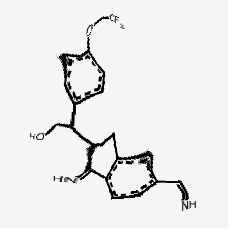 N=Cc1ccc2c(c1)CC(C(O)c1ccc(OC(F)(F)F)cc1)C2=N